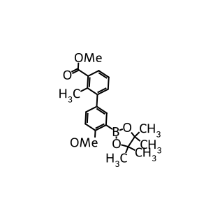 COC(=O)c1cccc(-c2ccc(OC)c(B3OC(C)(C)C(C)(C)O3)c2)c1C